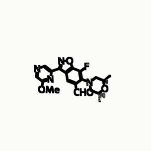 COc1cncc(-c2noc3c(F)c(N4C[C@@H](C)O[C@H](C)C4)c(C=O)cc23)n1